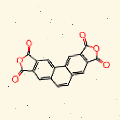 O=c1oc(=O)c2cc3c(ccc4cc5c(=O)oc(=O)c5cc43)cc12